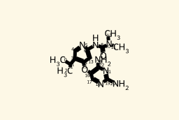 CC(C)c1cnc(NC(=O)N(C)C)cc1Oc1cnc(N)nc1N